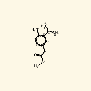 COC(=O)Cc1ccc(N)c(N(C)C)c1